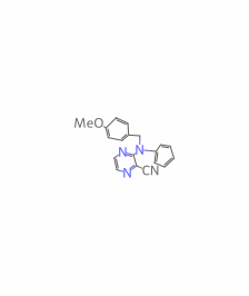 COc1ccc(CN(c2ccccc2)c2nccnc2C#N)cc1